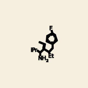 CC=C(C(CC)Cc1ccc(F)cc1)C(N)C(C)C